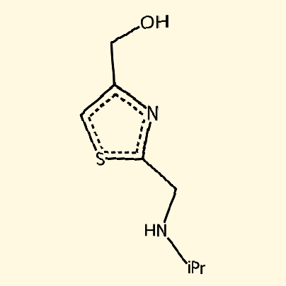 CC(C)NCc1nc(CO)cs1